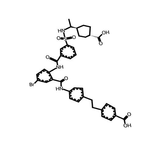 CC(NS(=O)(=O)c1cccc(C(=O)Nc2ccc(Br)cc2C(=O)Nc2ccc(CCc3ccc(C(=O)O)cc3)cc2)c1)[C@H]1CC[C@H](C(=O)O)CC1